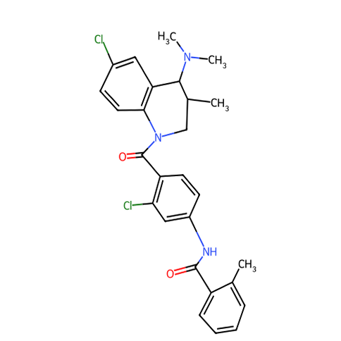 Cc1ccccc1C(=O)Nc1ccc(C(=O)N2CC(C)C(N(C)C)c3cc(Cl)ccc32)c(Cl)c1